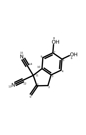 C=C1Cc2cc(O)c(O)cc2C1(C#N)C#N